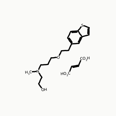 CN(CCO)CCCOCCc1ccc2sccc2c1.O=C(O)C=CC(=O)O